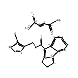 Cc1[nH]cnc1CCC(=O)c1c2n(c3ccccc13)CCC2.O=C(O)C=CC(=O)O